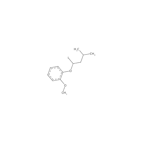 COc1ccccc1OC(I)CC(C)C